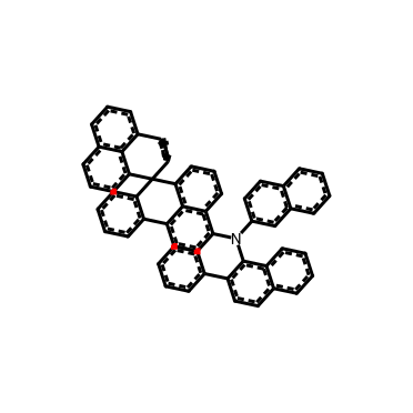 c1ccc(-c2ccc3ccccc3c2N(c2ccc3ccccc3c2)c2ccc3c4c(cccc24)C2(c4ccccc4-c4cccc5cccc2c45)c2ccccc2-3)cc1